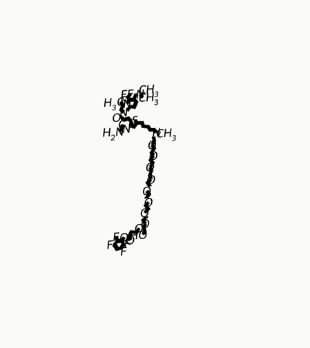 CCCN(Cc1ccc(CN(C)C)c(C(F)(F)F)n1)C(=O)C1=Cc2sc(CCCCCN(C)CCOCCOCCOCCOCCOCCOCCOCCOC(CO)OCCC(=O)Oc3c(F)c(F)cc(F)c3F)cc2N=C(N)C1